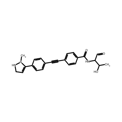 CC(O)C(C=O)NC(=O)c1ccc(C#Cc2ccc(C3=CCNN3C)cc2)cc1